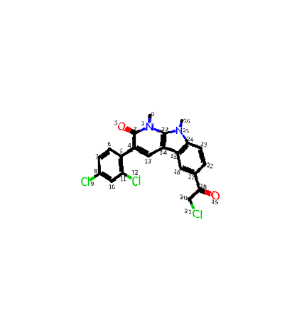 Cn1c(=O)c(-c2ccc(Cl)cc2Cl)cc2c3cc(C(=O)CCl)ccc3n(C)c21